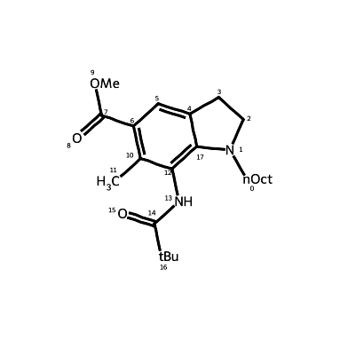 CCCCCCCCN1CCc2cc(C(=O)OC)c(C)c(NC(=O)C(C)(C)C)c21